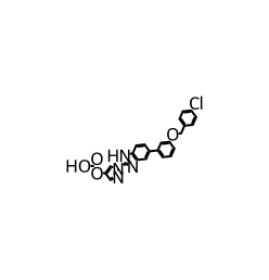 O=C(O)Oc1cnn(-c2nc3cc(-c4cccc(OCc5ccc(Cl)cc5)c4)ccc3[nH]2)c1